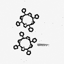 C1=Cc2nc1c(-c1ccccc1)c1ccc([nH]1)c(-c1ccccc1)c1nc(c(-c3ccccc3)c3ccc([nH]3)c2-c2ccccc2)C=C1.C1=Cc2nc1c(-c1ccccc1)c1ccc([nH]1)c(-c1ccccc1)c1nc(c(-c3ccccc3)c3ccc([nH]3)c2-c2ccccc2)C=C1.[O-2].[O-2].[O-2].[O-2].[O-2].[V+5].[V+5]